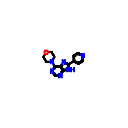 c1cc(-c2nc3c(N4CCOCC4)ncnc3[nH]2)ccn1